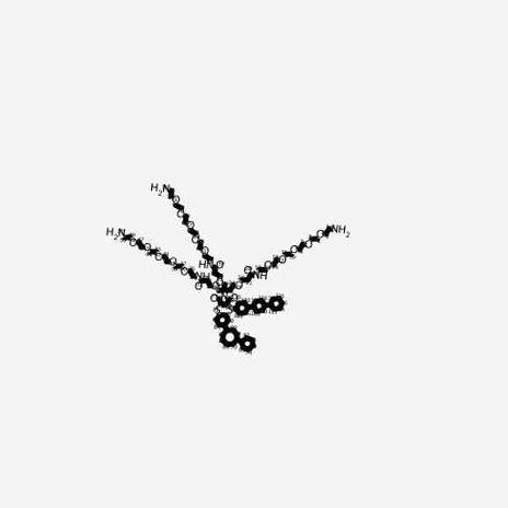 NCCOCCOCCOCCOCCOCCNC(=O)CCOCCC(COCCC(=O)NCCOCCOCCOCCOCCOCCN)(COCCC(=O)NCCOCCOCCOCCOCCOCCN)N1C(=O)C(SC2CCC(C3CCCCC(C4CCCCC4)CC3)CC2)=C(SC2CCC(C3CCC(C4CCCCC4)CC3)CC2)C1=O